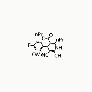 CCCOC(=O)C1=C(CCC)NC(C)=C(C#N)C1c1ccc(F)cc1OC